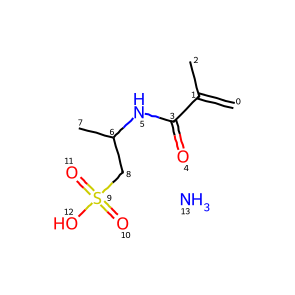 C=C(C)C(=O)NC(C)CS(=O)(=O)O.N